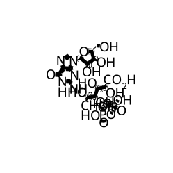 Nc1nc2c(ncn2[C@@H]2O[C@H](CO)[C@@H](O)[C@H]2O)c(=O)[nH]1.O=C[C@H](O)[C@@H](O)[C@H](O)[C@H](O)C(=O)O.O=P(O)(O)OP(=O)(O)O